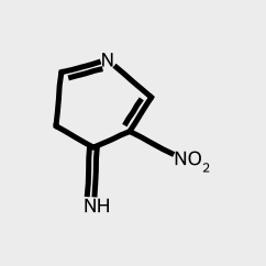 N=C1CC=NC=C1[N+](=O)[O-]